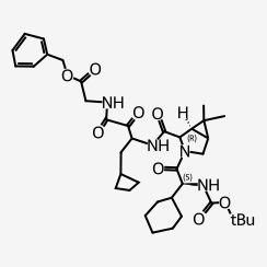 CC(C)(C)OC(=O)N[C@H](C(=O)N1CC2[C@@H](C1C(=O)NC(CC1CCC1)C(=O)C(=O)NCC(=O)OCc1ccccc1)C2(C)C)C1CCCCC1